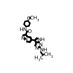 CO[C@H]1CC[C@H](NC(=O)c2cnn3ccc(-c4c[nH]c5nc(NCC(C)C)ncc45)cc23)CC1